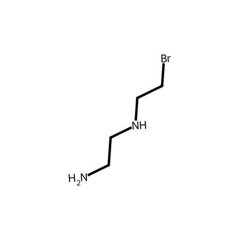 NCCNCCBr